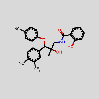 CC(O)(CNC(=O)c1ccccc1O)C(Oc1ccc(C#N)cc1)c1ccc(C#N)c(C(F)(F)F)c1